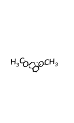 CCOC1=C[CH]c2c(cccc2OCC)C1